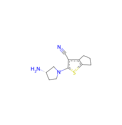 N#Cc1c(N2CC[C@H](N)C2)sc2c1CCC2